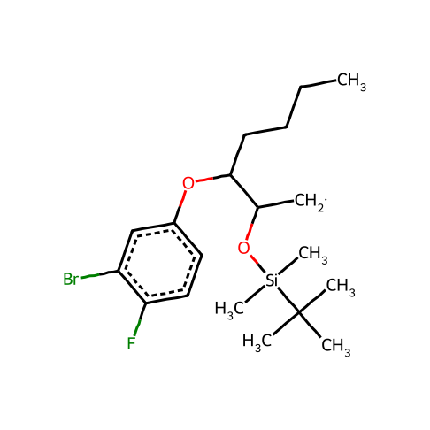 [CH2]C(O[Si](C)(C)C(C)(C)C)C(CCCC)Oc1ccc(F)c(Br)c1